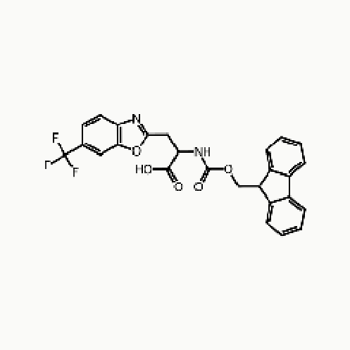 O=C(NC(Cc1nc2ccc(C(F)(F)F)cc2o1)C(=O)O)OCC1c2ccccc2-c2ccccc21